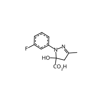 CC1=NN(c2cccc(F)c2)C(O)(C(=O)O)C1